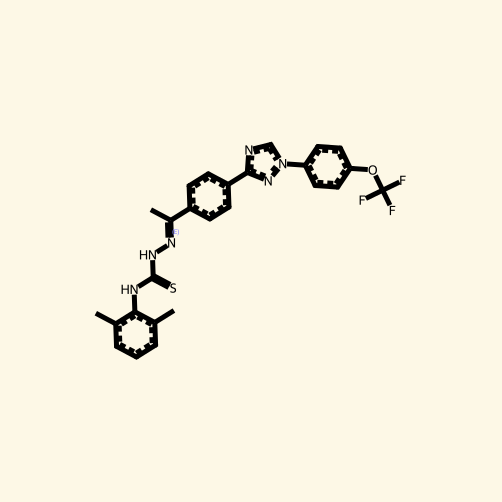 C/C(=N\NC(=S)Nc1c(C)cccc1C)c1ccc(-c2ncn(-c3ccc(OC(F)(F)F)cc3)n2)cc1